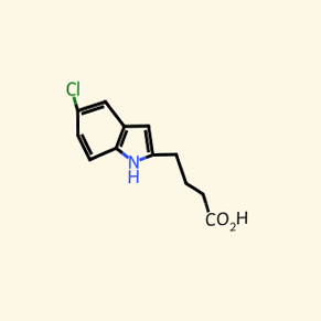 O=C(O)CCCc1cc2cc(Cl)ccc2[nH]1